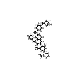 C=C(C)N1CCCC1c1cc(Cl)c(-c2cc3cnc(Nc4ccc(NC5CCNC5)cc4)nc3n(Cc3nccs3)c2=O)c(Cl)c1